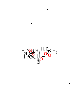 C=C(C)C(=O)OCCO[SiH](C)CC[SiH](C)O[Si](C)(C)OC